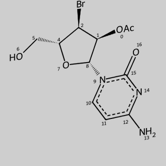 CC(=O)O[C@@H]1[C@H](Br)[C@@H](CO)O[C@H]1n1ccc(N)nc1=O